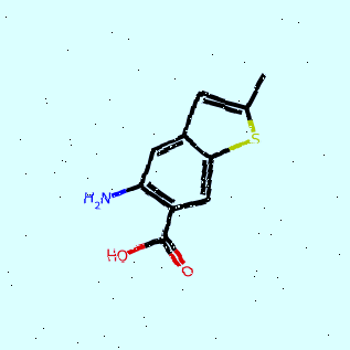 Cc1cc2cc(N)c(C(=O)O)cc2s1